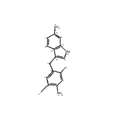 Cc1cc(N)c(I)cc1Cc1c[nH]c2cc([N+](=O)[O-])ccc12